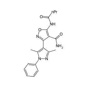 CCCC(=O)Nc1onc(-c2c(C)nn(-c3ccccc3)c2C)c1C(N)=O